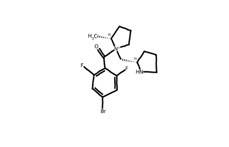 C[C@@H]1CCC[N+]1(C[C@@H]1CCCN1)C(=O)c1c(F)cc(Br)cc1F